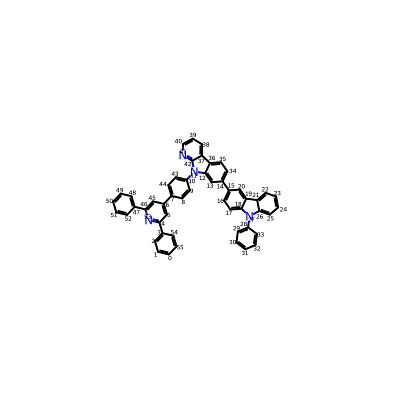 c1ccc(-c2cc(-c3ccc(-n4c5cc(-c6ccc7c(c6)c6ccccc6n7-c6ccccc6)ccc5c5cccnc54)cc3)cc(-c3ccccc3)n2)cc1